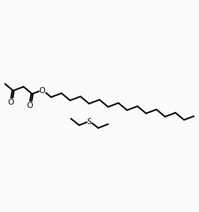 CCCCCCCCCCCCCCCCOC(=O)CC(C)=O.CCSCC